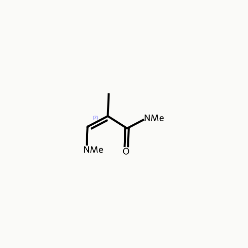 CN/C=C(/C)C(=O)NC